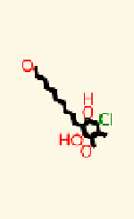 CC1=C(C=O)C(O)=C(CCCCCCCCCC=O)[C@@H](O)C1Cl